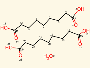 O.O=C(O)CCCCCCCC(=O)O.O=C(O)CCCCCCCC(=O)O